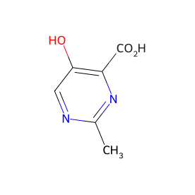 Cc1ncc(O)c(C(=O)O)n1